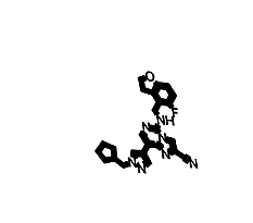 N#Cc1cn2c(NCc3c(F)ccc4c3CCO4)ncc(-c3cnn(CC4CCCC4)c3)c2n1